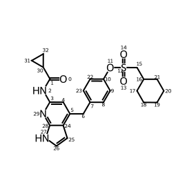 O=C(Nc1cc(Cc2ccc(OS(=O)(=O)CC3CCCCC3)cc2)c2cc[nH]c2n1)C1CC1